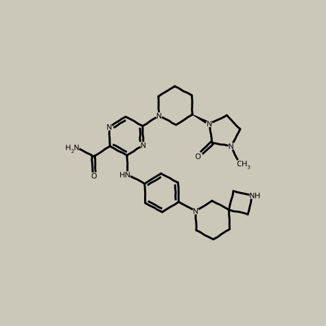 CN1CCN([C@@H]2CCCN(c3cnc(C(N)=O)c(Nc4ccc(N5CCCC6(CNC6)C5)cc4)n3)C2)C1=O